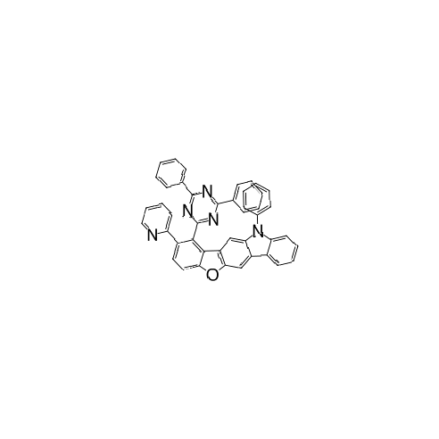 c1ccc(-c2nc(-c3ccccc3)nc(-c3c(-c4ccccn4)ccc4oc5cc6c7ccccc7n(-c7ccccc7)c6cc5c34)n2)cc1